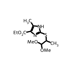 CCOC(=O)c1nc(SC(C)C(OC)OC)[nH]c1C